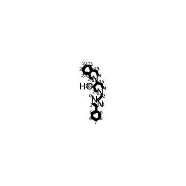 Cn1cc(-c2ccccc2)nc1CN1CC[C@@H](N2CCc3ccccc3C2)[C@H](O)C1